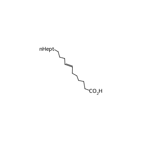 CCCCCCCCCCC=CCCCCCC(=O)O